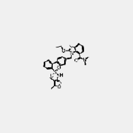 CCOc1nc2cccc(C(=O)N(C)C)c2n1Cc1ccc(-c2ccccc2S(=O)(=O)Nc2noc(C)c2C)cc1